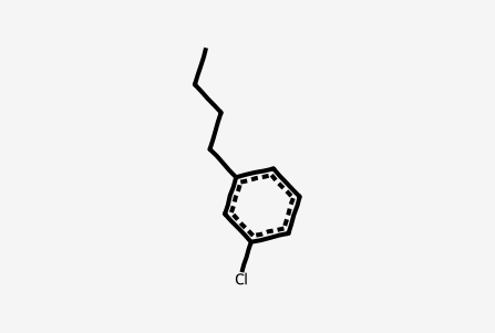 CCCCc1cccc(Cl)c1